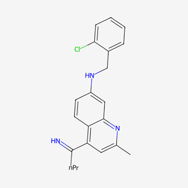 CCCC(=N)c1cc(C)nc2cc(NCc3ccccc3Cl)ccc12